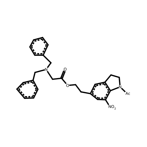 CC(=O)N1CCc2cc(CCOC(=O)CN(Cc3ccccc3)Cc3ccccc3)cc([N+](=O)[O-])c21